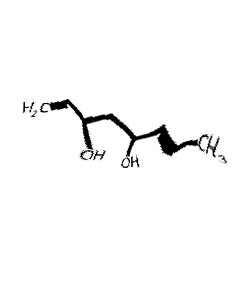 C=CC(O)CC(O)C=CC